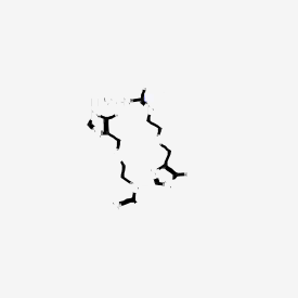 CN/C(=N\CCSCc1nc[nH]c1C)C(=O)O.Cc1[nH]cnc1CSCCNC(=N)C(=O)O